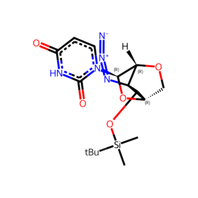 CC(C)(C)[Si](C)(C)OC1C2(N=[N+]=[N-])[C@H]3OC[C@@]12O[C@H]3n1ccc(=O)[nH]c1=O